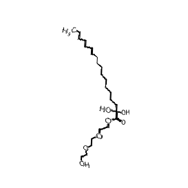 CCCCCCCCCCCCCCCCC(O)(O)C(=O)OCCOCCOCCO